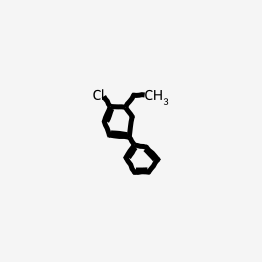 CC[C]1CC(c2ccccc2)=CC=C1Cl